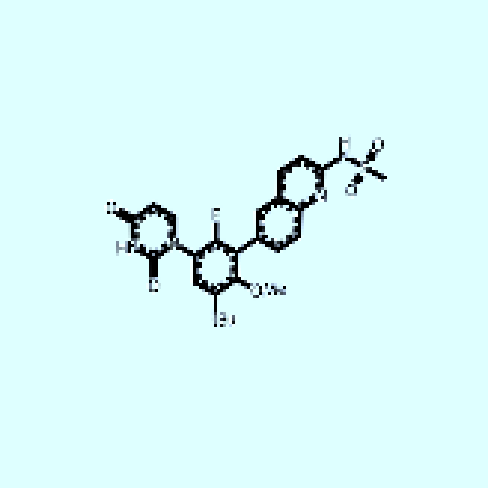 COc1c(C(C)(C)C)cc(-n2ccc(=O)[nH]c2=O)c(F)c1-c1ccc2nc(NS(C)(=O)=O)ccc2c1